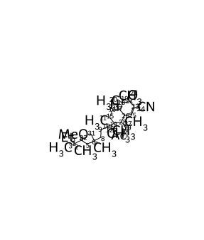 CCC(C)(C)CC[C@@](C)(CCC(C)(C)[C@]1(C)CC[C@H]2C(C)(C)C(=O)C(C#N)=C[C@]2(C)[C@H]1CC(C)=O)COC